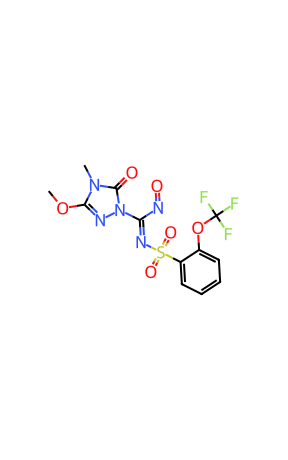 COc1nn(/C(N=O)=N/S(=O)(=O)c2ccccc2OC(F)(F)F)c(=O)n1C